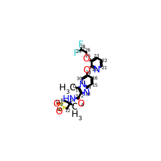 Cc1c(C(=O)NC2(C)CS(=O)(=O)C2)nc2ccc(Oc3ncccc3OCC(F)F)cn12